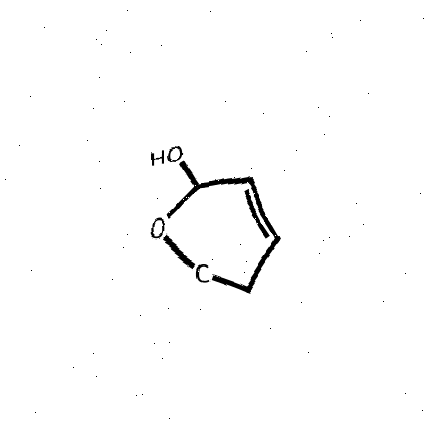 OC1C=CCCO1